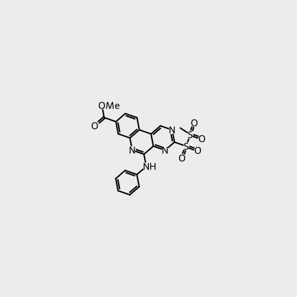 COC(=O)c1ccc2c(c1)nc(Nc1ccccc1)c1nc(S(=O)(=O)S(C)(=O)=O)ncc12